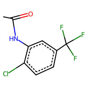 CC(=O)Nc1cc(C(F)(F)F)ccc1Cl